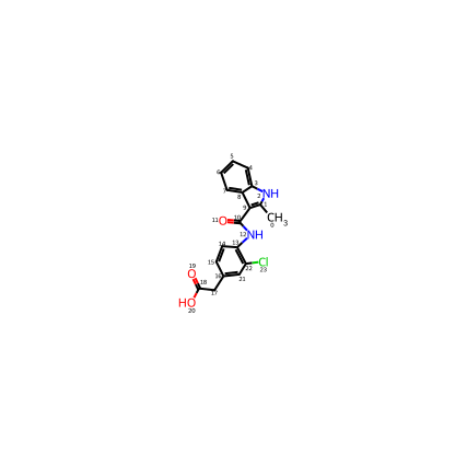 Cc1[nH]c2ccccc2c1C(=O)Nc1ccc(CC(=O)O)cc1Cl